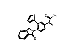 CC(C(=O)O)c1ccc(N2Cc3ccccc3C2=O)c(-c2cccs2)c1